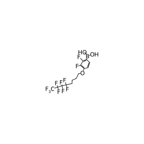 OB(O)c1ccc(OCCCCC(F)(F)C(F)(F)C(F)(F)C(F)(F)F)c(F)c1F